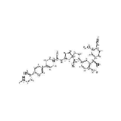 CN/C=N\C(=N)c1ccc(C2=CCN(C(=O)CN3CC[C@]4(CCN(c5ccc(N)c(C(=N)c6ccc(C#N)c(OC)c6)c5)C4=O)C3)CC2)cc1